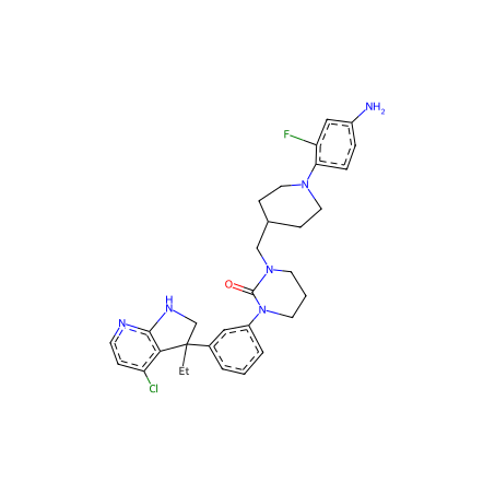 CCC1(c2cccc(N3CCCN(CC4CCN(c5ccc(N)cc5F)CC4)C3=O)c2)CNc2nccc(Cl)c21